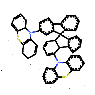 C1=CCC2C(=C1)SC1=C(C=CCC1)N2c1ccc2c(c1)C1(c3ccccc3-2)c2ccccc2C2C(N3c4ccccc4Sc4ccccc43)=CC=CC21